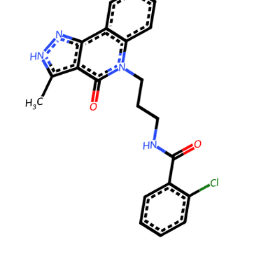 Cc1[nH]nc2c1c(=O)n(CCCNC(=O)c1ccccc1Cl)c1ccccc21